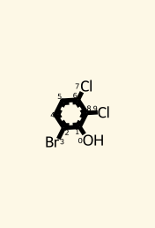 Oc1c(Br)ccc(Cl)c1Cl